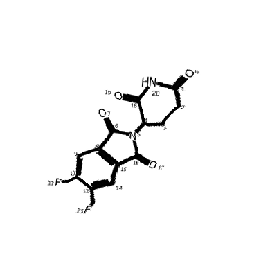 O=C1CCC(N2C(=O)c3cc(F)c(F)cc3C2=O)C(=O)N1